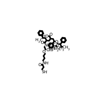 CC(CC(CC(CC(ON(C(c1ccccc1)C(C)C)C(C)(C)C)c1ccc(O)cc1)C(=O)O)C(=O)NCCOCCCCNC(=O)CCS)c1ccccc1